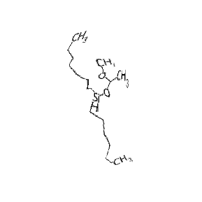 CCCCCC[SiH](CCCCCC)OC(C)OC